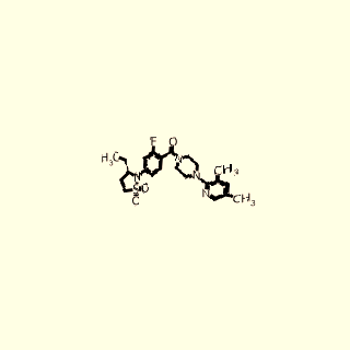 CC[C@@H]1CCS(=O)(=O)N1c1ccc(C(=O)N2CCN(c3ncc(C)cc3C)CC2)c(F)c1